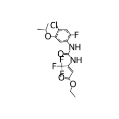 CCOC(=O)C=C(NC(=O)Nc1cc(OC(C)C)c(Cl)cc1F)C(F)(F)F